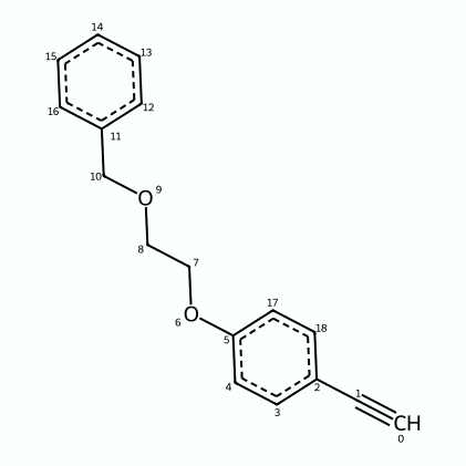 C#Cc1ccc(OCCOCc2ccccc2)cc1